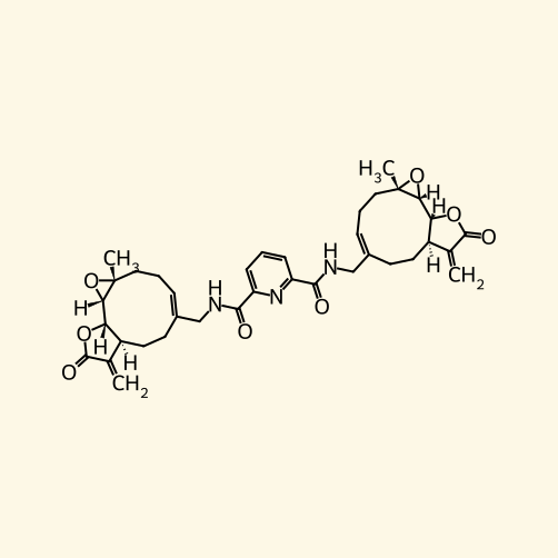 C=C1C(=O)O[C@@H]2[C@@H]1CC/C(CNC(=O)c1cccc(C(=O)NC/C3=C/CC[C@@]4(C)O[C@H]4[C@H]4OC(=O)C(=C)[C@@H]4CC3)n1)=C\CC[C@]1(C)O[C@H]21